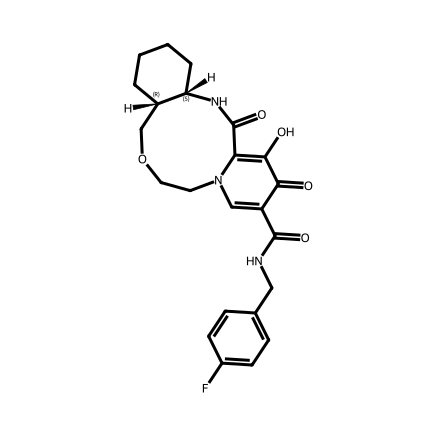 O=C(NCc1ccc(F)cc1)c1cn2c(c(O)c1=O)C(=O)N[C@H]1CCCC[C@H]1COCC2